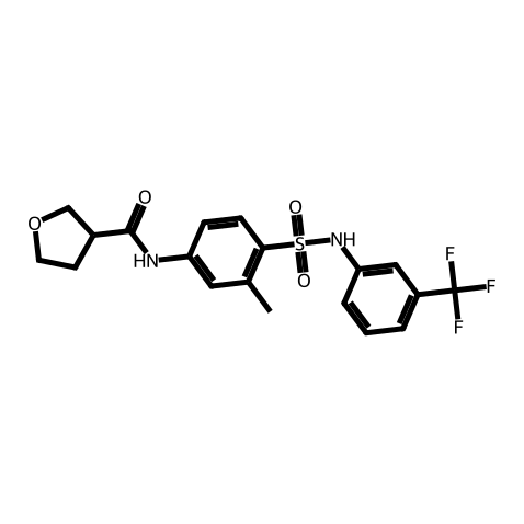 Cc1cc(NC(=O)C2CCOC2)ccc1S(=O)(=O)Nc1cccc(C(F)(F)F)c1